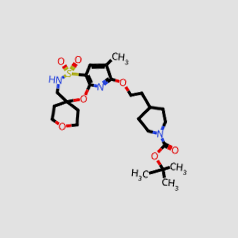 Cc1cc2c(nc1OCCC1CCN(C(=O)OC(C)(C)C)CC1)OC1(CCOCC1)CNS2(=O)=O